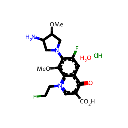 COc1c(N2CC(N)C(OC)C2)c(F)cc2c(=O)c(C(=O)O)cn(CCF)c12.Cl.O